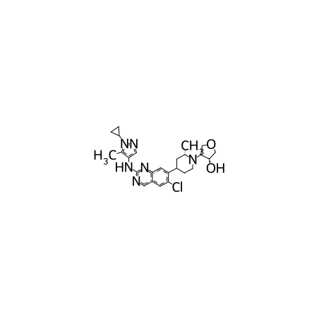 Cc1c(Nc2ncc3cc(Cl)c(C4CCN(C5COC[C@H]5O)[C@@H](C)C4)cc3n2)cnn1C1CC1